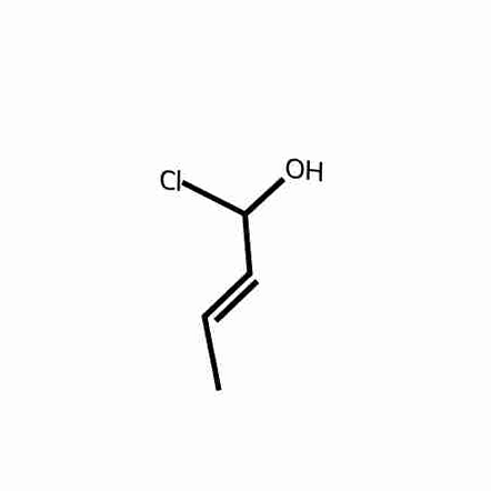 CC=CC(O)Cl